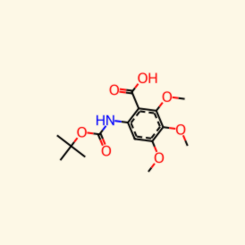 COc1cc(NC(=O)OC(C)(C)C)c(C(=O)O)c(OC)c1OC